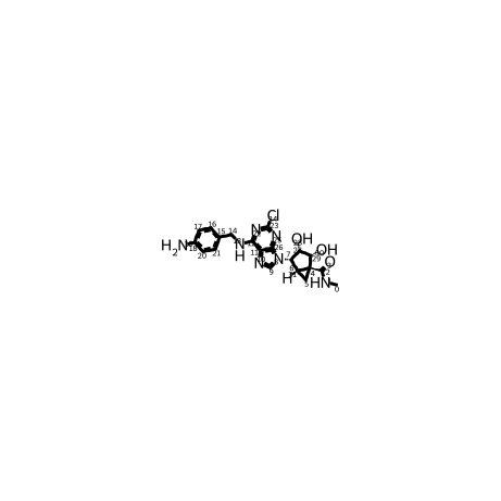 CNC(=O)[C@@]12C[C@@H]1[C@H](n1cnc3c(NCc4ccc(N)cc4)nc(Cl)nc31)[C@H](O)[C@@H]2O